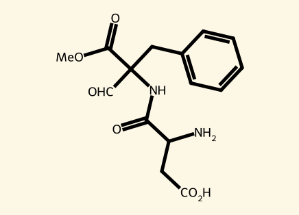 COC(=O)C(C=O)(Cc1ccccc1)NC(=O)C(N)CC(=O)O